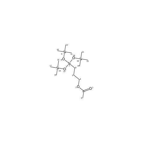 CC(=O)OCCC[Si](O[Si](C)(C)C)(O[Si](C)(C)C)O[Si](C)(C)C